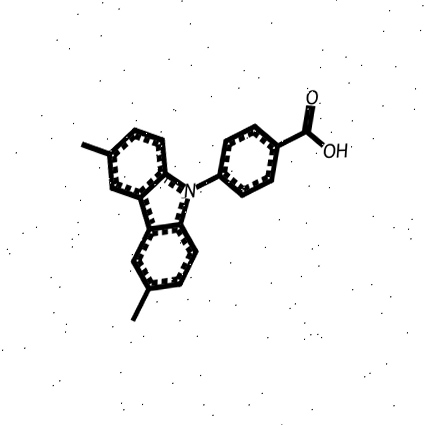 Cc1ccc2c(c1)c1cc(C)ccc1n2-c1ccc(C(=O)O)cc1